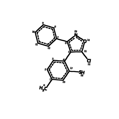 Cc1ccc(-c2c(-c3ccccc3)noc2Cl)c(S)c1